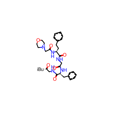 CC[C@@H](C)C(=O)CNC(=O)[C@H](Cc1ccccc1)NC(=O)CNC(=O)[C@H](CCc1ccccc1)NC(=O)CN1CCOCC1